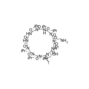 C/C=C/C[C@@H](C)[C@@H](O)[C@H]1C(=O)N[C@@H](CC)C(=O)N(C)[C@H](OCCN)C(=O)N(C)[C@@H](CC(C)C)C(=O)N[C@@H](C(C)C)C(=O)N(C)[C@@H](CC(C)C)C(=O)N[C@@H](C)C(=O)N[C@H](C)C(=O)N(C)[C@@H](CC(C)C)C(=O)N(C)[C@@H](CC(C)C)C(=O)N(C)[C@@H](C(C)C)C(=O)N1C